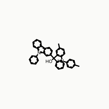 Cc1ccc(Nc2ccc(C)cc2C(O)(c2ccccc2)c2ccc3c4ccccc4n(-c4ccccc4)c3c2)cc1